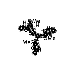 COCCOCCOCCN(CC(C)(C)SSCCC(C(=O)NC1CCCCC1)S(=O)(=O)O)c1cc(COc2cc3c(cc2OC)C(=O)N2c4ccccc4C[C@H]2C=N3)cc(COc2cc3c(cc2OC)C(=O)N2c4ccccc4C[C@H]2CN3)c1